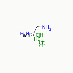 Cl.Cl.NCCN.[Cl-].[Cl-].[Mn+2]